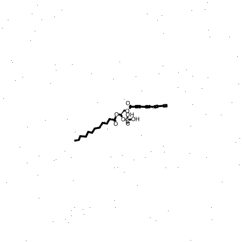 C#CC#CC#CC#CC(=O)OC[C@H](OC(=O)CCCCCCCCCCC)OP(=O)(O)O